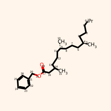 CC(C)CCC[C@@H](C)CCC[C@@H](C)CCCC(C)CC(=O)OCc1ccccc1